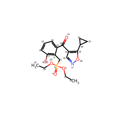 CCOP(=O)(Cc1c(Br)cccc1C(=O)c1cnoc1C1CC1)OCC